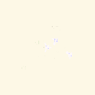 C=Cc1cn(Cc2cc(Cl)ccc2Cl)c(-c2cccnc2)n1